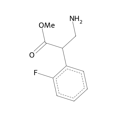 COC(=O)C(CN)c1ccccc1F